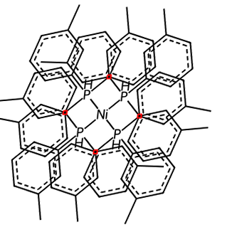 Cc1cccc([PH](c2cccc(C)c2)(c2cccc(C)c2)[Ni]([PH](c2cccc(C)c2)(c2cccc(C)c2)c2cccc(C)c2)([PH](c2cccc(C)c2)(c2cccc(C)c2)c2cccc(C)c2)[PH](c2cccc(C)c2)(c2cccc(C)c2)c2cccc(C)c2)c1